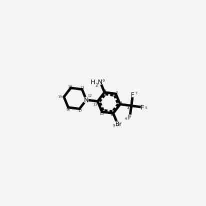 Nc1cc(C(F)(F)F)c(Br)cc1N1CCCCC1